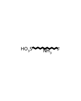 N.O=S(=O)(O)CCCCCCCCCCCF